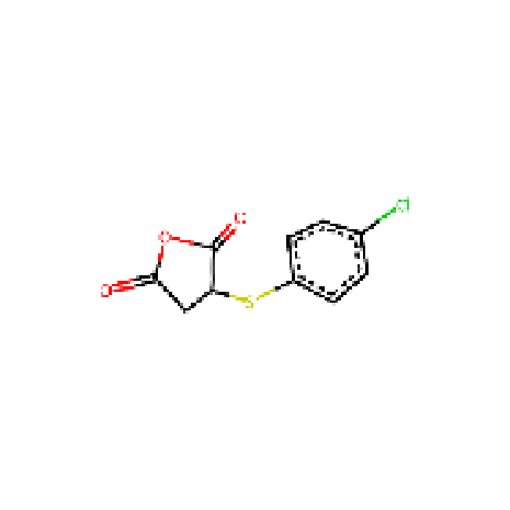 O=C1CC(Sc2ccc(Cl)cc2)C(=O)O1